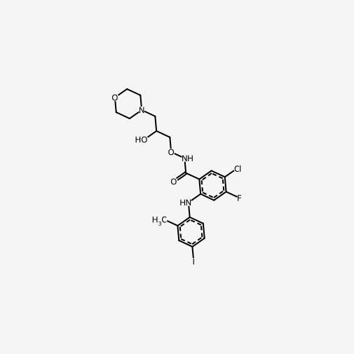 Cc1cc(I)ccc1Nc1cc(F)c(Cl)cc1C(=O)NOCC(O)CN1CCOCC1